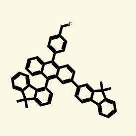 CC1(C)c2ccccc2-c2ccc(-c3ccc4c(-c5ccc(CF)cc5)c5ccccc5c(-c5cccc6c5-c5ccccc5C6(C)C)c4c3)cc21